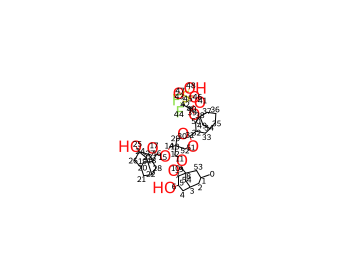 CC1CC2CC(O)CC(C(=O)OCC3(COC(=O)C45CC6CC(CC(O)(C6)C4)C5)COC(C4CC5CCCC(OC(=O)C(F)(F)S(=O)(=O)O)(C5)C4)OC3)(C1)C2